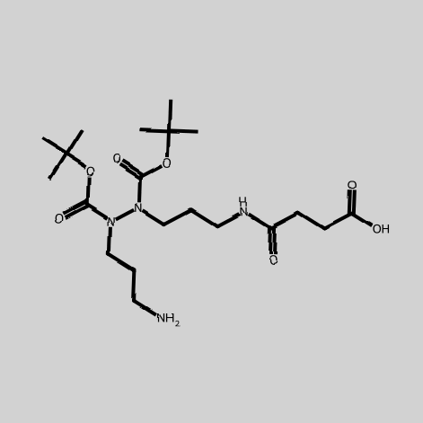 CC(C)(C)OC(=O)N(CCCN)N(CCCNC(=O)CCC(=O)O)C(=O)OC(C)(C)C